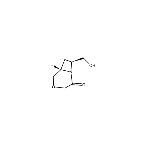 O=C1COC[C@@H]2C[C@@H](CO)N12